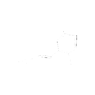 CCOC(=O)C=Cc1cnccc1C